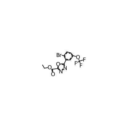 CCOC(=O)c1nnc(-c2cc(OC(F)(F)F)ccc2Br)o1